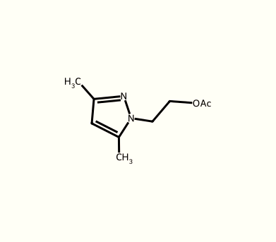 CC(=O)OCCn1nc(C)cc1C